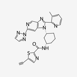 C#Cc1cnc(C(=O)N[C@H]2CCC[C@@H](n3c(-c4ncccc4C)nc4cnc(-n5nccn5)cc43)C2)s1